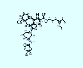 CCN(CC)CCCOC(=O)c1cc2nc(N3CCC[C@@H](NC(=O)OC(C)(C)C)C3)n(Cc3ccccc3Cl)c2c(=O)[nH]1